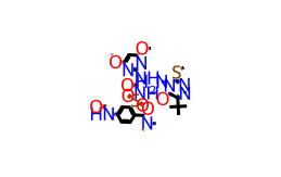 COc1cc(OC)nc(NC(=O)NS(=O)(=O)c2cc(NC=O)ccc2C(=O)N(C)C)n1.CSc1nnc(C(C)(C)C)c(=O)n1N